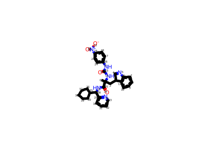 CC(CC1C=Nc2ccccc21)(NC(=O)Nc1ccc([N+](=O)[O-])cc1)C(=O)NC(c1ccccn1)C1CCCCC1